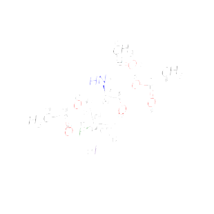 CC(=O)N[C@H]1C(OC(C)=O)O[C@H](CI)[C@@H](F)[C@@H]1OC(C)=O